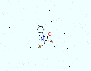 Cc1ccc(-n2c(=O)c(Br)c(CBr)n2C)cc1